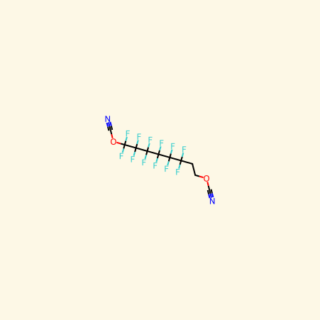 N#COCCC(F)(F)C(F)(F)C(F)(F)C(F)(F)C(F)(F)C(F)(F)OC#N